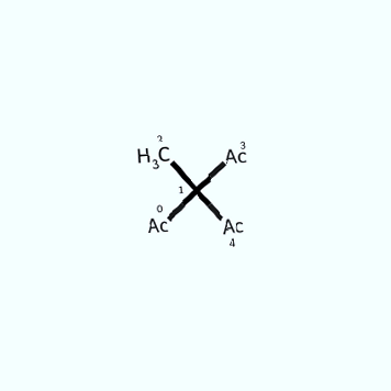 CC(=O)C(C)(C(C)=O)C(C)=O